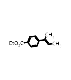 C/C=C(\C)c1ccc(C(=O)OCC)cc1